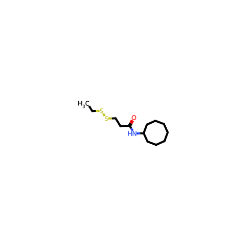 CCSSCCC(=O)NC1CCCCCCC1